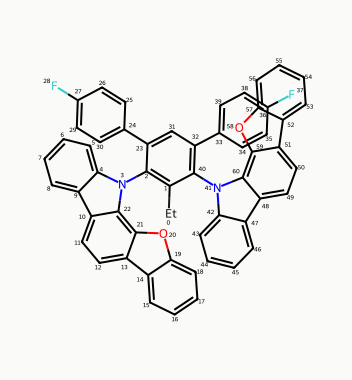 CCc1c(-n2c3ccccc3c3ccc4c5ccccc5oc4c32)c(-c2ccc(F)cc2)cc(-c2ccc(F)cc2)c1-n1c2ccccc2c2ccc3c4ccccc4oc3c21